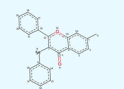 Cc1ccc2c(=O)c([Se]c3ccccc3)c(-c3ccccc3)oc2c1